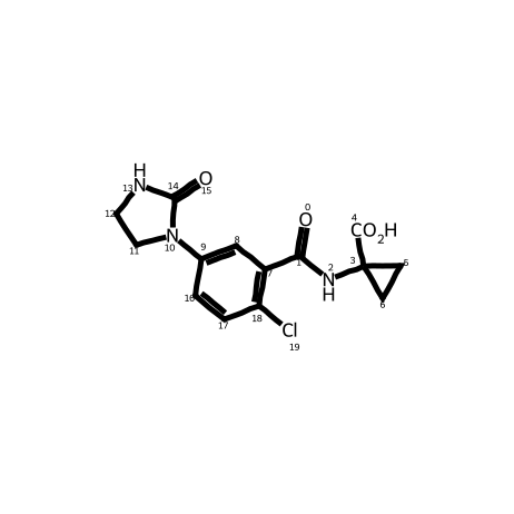 O=C(NC1(C(=O)O)CC1)c1cc(N2CCNC2=O)ccc1Cl